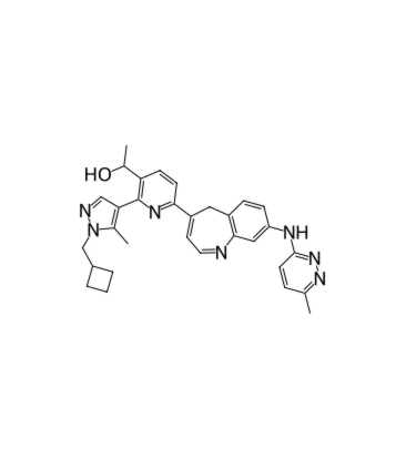 Cc1ccc(Nc2ccc3c(c2)N=CC=C(c2ccc(C(C)O)c(-c4cnn(CC5CCC5)c4C)n2)C3)nn1